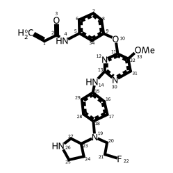 C=CC(=O)Nc1cccc(Oc2nc(Nc3ccc(N(CCF)C4CCNC4)cc3)ncc2OC)c1